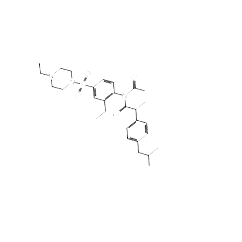 CCc1cc(S(=O)(=O)N2CCN(CC)CC2)ccc1N(C(C)=O)C(=O)C(C)c1ccc(CC(C)C)cc1